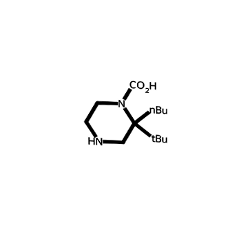 CCCCC1(C(C)(C)C)CNCCN1C(=O)O